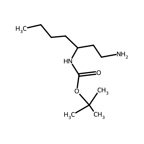 CCCCC(CCN)NC(=O)OC(C)(C)C